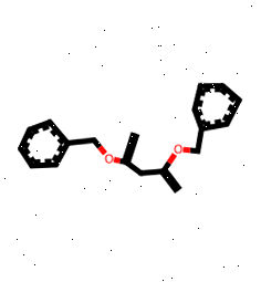 C=C(CC(=C)OCc1ccccc1)OCc1ccccc1